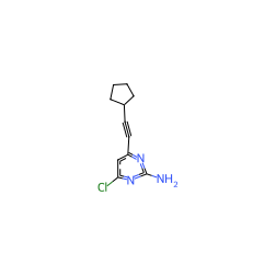 Nc1nc(Cl)cc(C#CC2CCCC2)n1